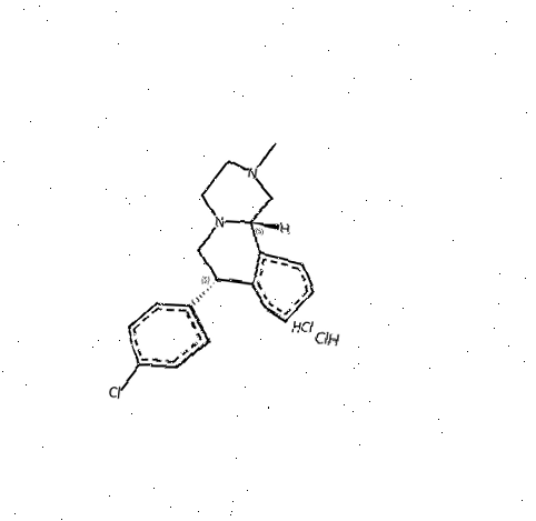 CN1CCN2C[C@@H](c3ccc(Cl)cc3)c3ccccc3[C@H]2C1.Cl.Cl